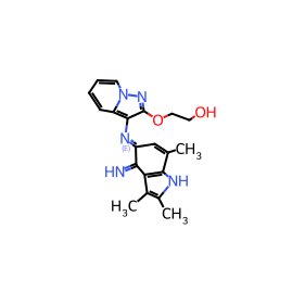 CC1=C/C(=N\c2c(OCCO)nn3ccccc23)C(=N)c2c1[nH]c(C)c2C